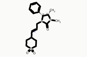 C[C@H]1[C@@H](c2ccccc2)N(C/C=C/C2CCS(=O)(=O)CC2)C(=O)N1C